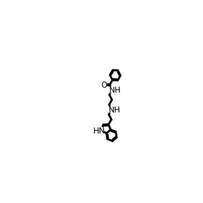 O=C(NCCCNCCc1c[nH]c2ccccc12)c1ccccc1